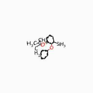 C[Si](C)(C)Oc1cccc([SiH3])c1Oc1ccccc1